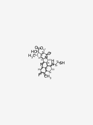 CC[C@@]1(O)C(=O)OCc2c1cc1n(c2=O)Cc2c-1nc1cc(F)c(C)c3c1c2[C@@H](NCCS)CC3